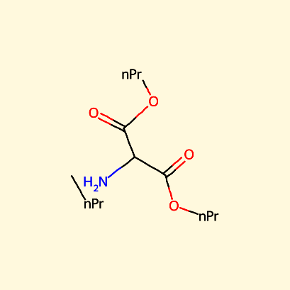 CCCC.CCCOC(=O)C(N)C(=O)OCCC